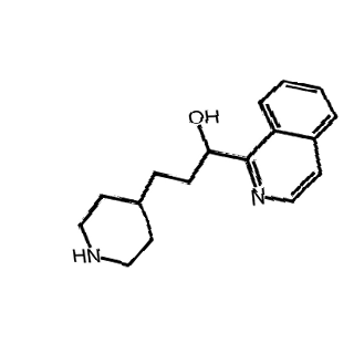 OC(CCC1CCNCC1)c1nccc2ccccc12